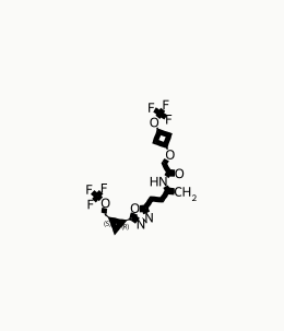 C=C(CCc1nnc([C@@H]2C[C@@H]2COC(F)(F)F)o1)NC(=O)CO[C@H]1C[C@@H](OC(F)(F)F)C1